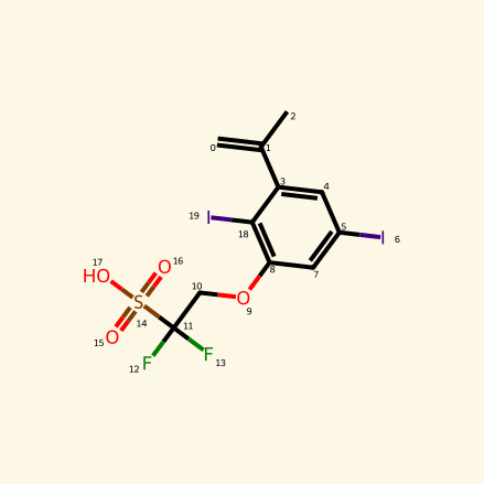 C=C(C)c1cc(I)cc(OCC(F)(F)S(=O)(=O)O)c1I